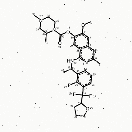 COc1cc2nc(C)nc(N[C@H](C)c3cccc(C(F)(F)C4CCCO4)c3F)c2cc1OC(=O)N1CCN(C)C[C@@H]1C